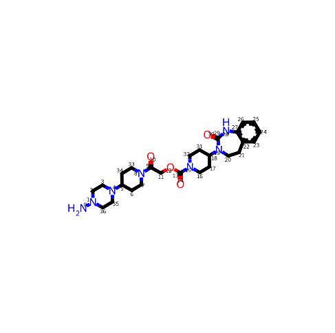 NN1CCN(C2CCN(C(=O)COC(=O)N3CCC(N4CCc5ccccc5NC4=O)CC3)CC2)CC1